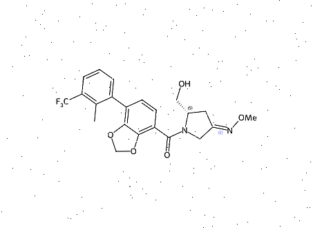 CO/N=C1\C[C@@H](CO)N(C(=O)c2ccc(-c3cccc(C(F)(F)F)c3C)c3c2OCO3)C1